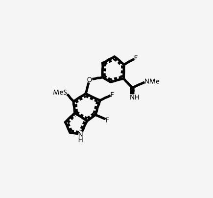 CNC(=N)c1cc(Oc2c(F)c(F)c3[nH]ccc3c2SC)ccc1F